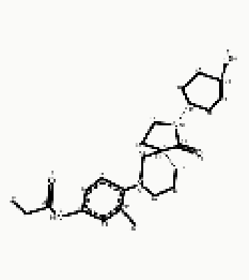 CCC(=O)Nc1ccc(N2CCC[C@@]3(CCN([C@H]4CC[C@H](O)CC4)C3=O)C2)c(C)c1